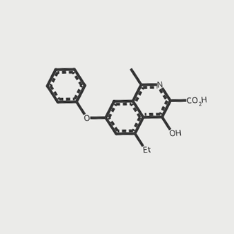 CCc1cc(Oc2ccccc2)cc2c(C)nc(C(=O)O)c(O)c12